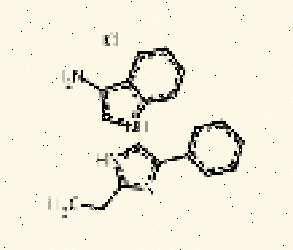 CCc1nc(-c2ccccc2)c[nH]1.Cl.Nc1c[nH]c2ccccc12